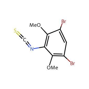 COc1c(Br)cc(Br)c(OC)c1N=C=S